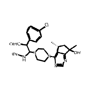 CC(C)NC(C(C=O)c1ccc(Cl)cc1)N1CCN(c2ncnc3c2[C@H](C)CC3(C)O)CC1